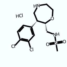 CS(=O)(=O)NC[C@H]1OCCNC[C@H]1c1ccc(Cl)c(Cl)c1.Cl